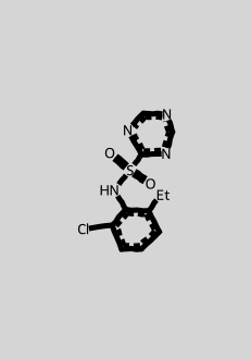 CCc1cccc(Cl)c1NS(=O)(=O)c1ncncn1